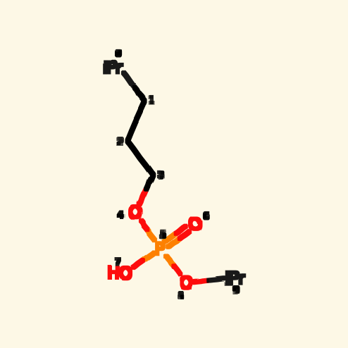 CC(C)CCCOP(=O)(O)OC(C)C